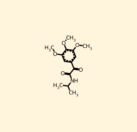 COc1cc(C(=O)C(=O)NC(C)C)cc(OC)c1OC